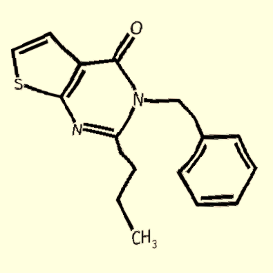 CCCc1nc2sccc2c(=O)n1Cc1ccccc1